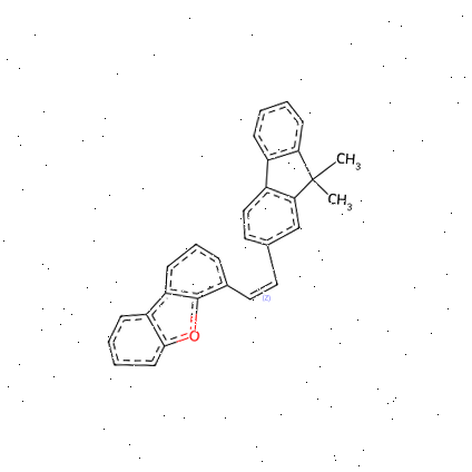 CC1(C)c2ccccc2-c2ccc(/C=C\c3cccc4c3oc3ccccc34)cc21